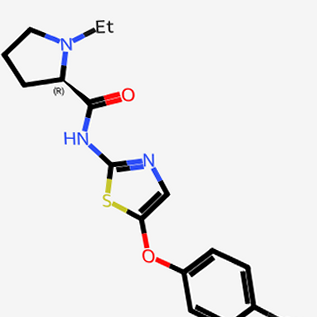 CCN1CCC[C@@H]1C(=O)Nc1ncc(Oc2ccc(C#N)cc2)s1